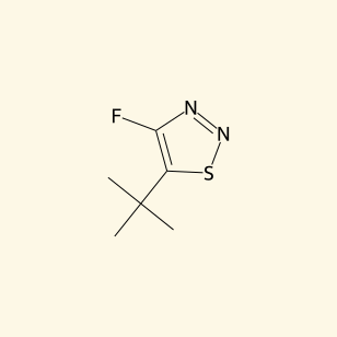 CC(C)(C)c1snnc1F